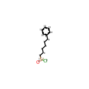 [O-][S+](Cl)CCCCCCc1ccccc1